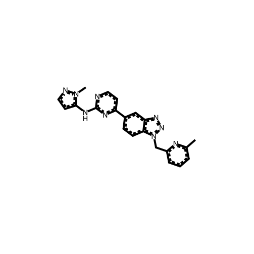 Cc1cccc(Cn2nnc3cc(-c4ccnc(Nc5ccnn5C)n4)ccc32)n1